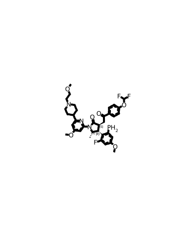 COCCN1CCC(c2cc(OC)cc(N3C(=O)[C@@H](CC(=O)c4ccc(OC(F)F)cc4)[C@H](c4c(F)cc(OC)cc4P)[C@@H]3C)n2)CC1